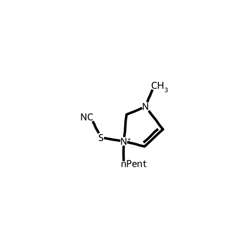 CCCCC[N+]1(SC#N)C=CN(C)C1